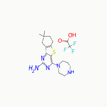 CC1(C)CCc2sc3c(N4CCCNCC4)nc(N)nc3c2C1.O=C(O)C(F)(F)F